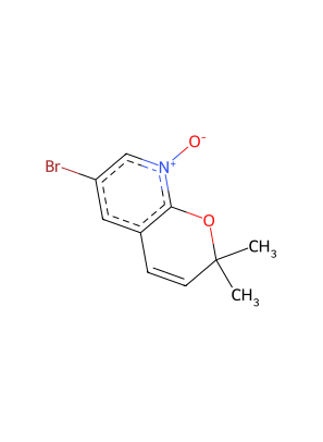 CC1(C)C=Cc2cc(Br)c[n+]([O-])c2O1